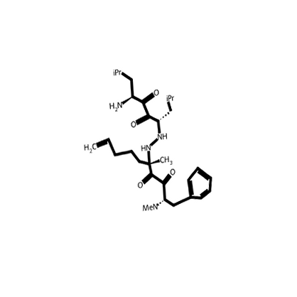 C=CCCC[C@](C)(NN[C@@H](CC(C)C)C(=O)C(=O)[C@@H](N)CC(C)C)C(=O)C(=O)[C@H](Cc1ccccc1)NC